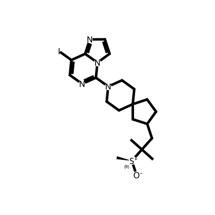 C[S@+]([O-])C(C)(C)CC1CCC2(CCN(c3ncc(I)c4nccn34)CC2)C1